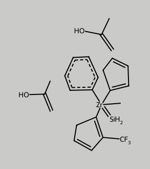 C=C(C)O.C=C(C)O.[CH3][Zr](=[SiH2])([C]1=CC=CC1)([C]1=C(C(F)(F)F)C=CC1)[c]1ccccc1